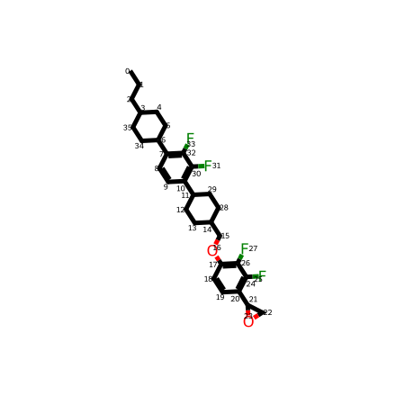 CCCC1CCC(c2ccc(C3CCC(COc4ccc(C5CO5)c(F)c4F)CC3)c(F)c2F)CC1